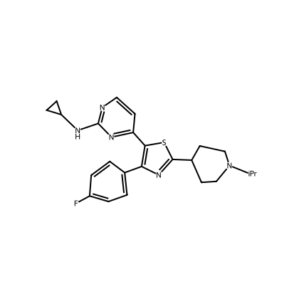 CC(C)N1CCC(c2nc(-c3ccc(F)cc3)c(-c3ccnc(NC4CC4)n3)s2)CC1